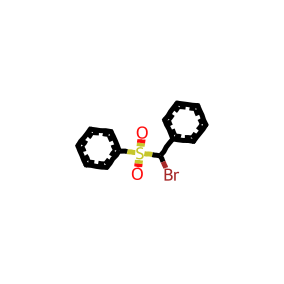 O=S(=O)(c1ccccc1)C(Br)c1ccccc1